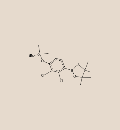 CC1(C)OB(c2ccc(O[Si](C)(C)C(C)(C)C)c(Cl)c2Cl)OC1(C)C